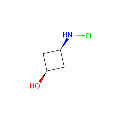 O[C@H]1C[C@@H](NCl)C1